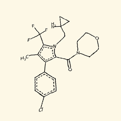 Cc1c(-c2ccc(Cl)cc2)c(C(=O)N2CCOCC2)n(CC2(N)CC2)c1C(F)(F)F